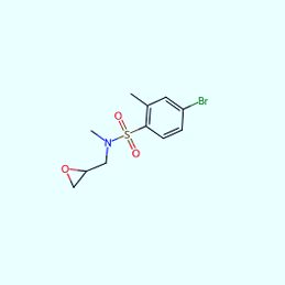 Cc1cc(Br)ccc1S(=O)(=O)N(C)CC1CO1